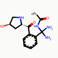 CCCC(=O)NC(N)(N)c1ccccc1C(=O)[C@@H]1C[C@@H](O)CN1